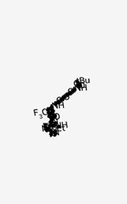 CCNc1cc(-c2c(-c3nncn3C)cnn2C)cc(N2Cc3c(cc(CNCCOCCOCCOCCNC(=O)OC(C)(C)C)cc3C(F)(F)F)C2=O)n1